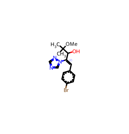 COC(C)(C)C(O)/C(=C/c1ccc(Br)cc1)n1cncn1